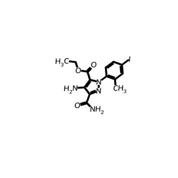 CCOC(=O)c1c(N)c(C(N)=O)nn1-c1ccc(I)cc1C